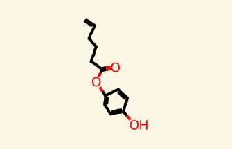 C=CCCCC(=O)Oc1ccc(O)cc1